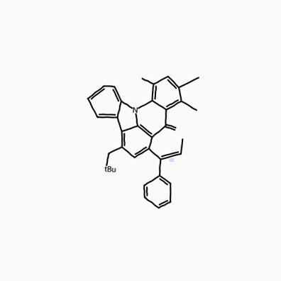 C=c1c2c(C)c(C)cc(C)c2n2c3ccccc3c3c(CC(C)(C)C)cc(/C(=C\C)c4ccccc4)c1c32